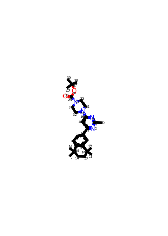 Cc1nc(-c2ccc3c(c2)C(C)(C)CCC3(C)C)cc(N2CCN(C(=O)OC(C)(C)C)CC2)n1